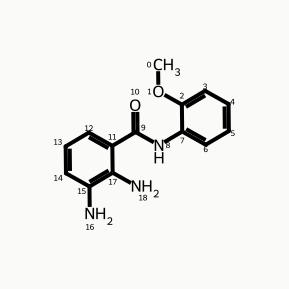 COc1ccccc1NC(=O)c1cccc(N)c1N